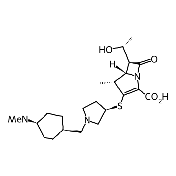 CN[C@H]1CC[C@@H](CN2CC[C@@H](SC3=C(C(=O)O)N4C(=O)[C@H]([C@@H](C)O)[C@H]4[C@H]3C)C2)CC1